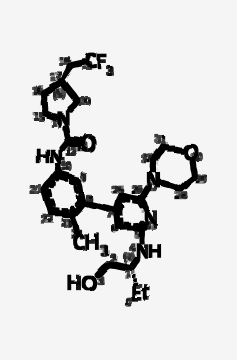 CC[C@H](CO)Nc1cc(-c2cc(NC(=O)N3CC[C@@H](CC(F)(F)F)C3)ccc2C)cc(N2CCOCC2)n1